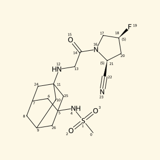 CS(=O)(=O)NC12CC3CC(CC(NCC(=O)N4C[C@@H](F)C[C@H]4C#N)(C3)C1)C2